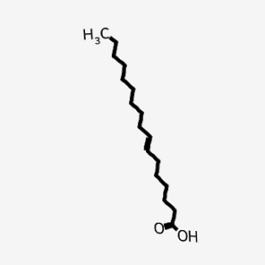 CCCCCCCCCC=CCCCCCC(=O)O